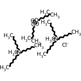 CC(C)CCCCCOP(=O)([O-])OCCCCCC(C)C.CCCCCCCC[N+](C)(CCCCCCCC)CCCCCCCC.CCCCCCCC[N+](C)(CCCCCCCC)CCCCCCCC.[Cl-]